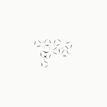 c1ccc(-c2ccc(-n3c4ccccc4c4cccc(-n5c6ccccc6c6ccc([Si]7(c8ccccc8)c8ccccc8Sc8ccccc87)cc65)c43)cc2)cc1